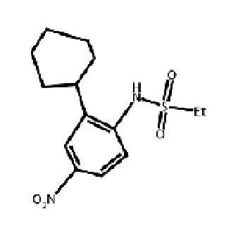 CCS(=O)(=O)Nc1ccc([N+](=O)[O-])cc1C1CCCCC1